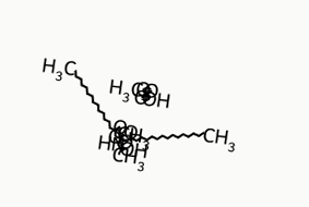 CCCCCCCCCCCCCCCC(=O)OC(C)(NC(C)O)OC(=O)CCCCCCCCCCCCCCC.COS(=O)(=O)O